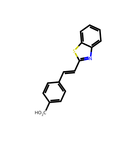 O=C(O)c1ccc(C=Cc2nc3ccccc3s2)cc1